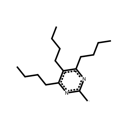 [CH2]c1nc(CCCC)c(CCCC)c(CCCC)n1